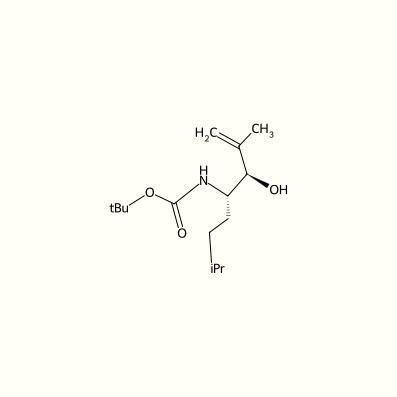 C=C(C)[C@@H](O)[C@H](CCC(C)C)NC(=O)OC(C)(C)C